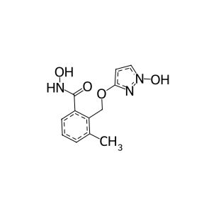 Cc1cccc(C(=O)NO)c1COc1ccn(O)n1